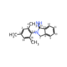 Cc1cc(C)c(N2Cc3ccccc3C2=N)c(C)c1